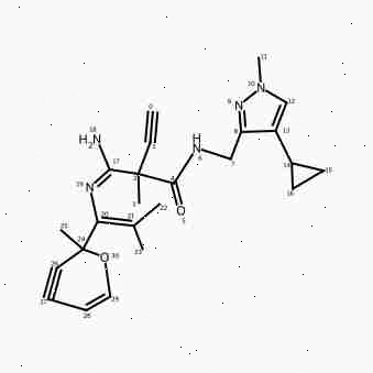 C#CC(C)(C(=O)NCc1nn(C)cc1C1CC1)/C(N)=N\C(=C(C)C)C1(C)C#CC=CO1